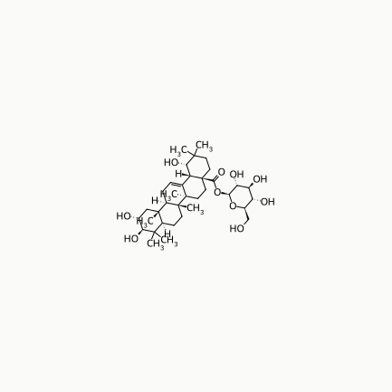 CC1(C)CC[C@]2(C(=O)O[C@@H]3O[C@H](CO)[C@@H](O)[C@H](O)[C@H]3O)CC[C@]3(C)C(=CC[C@@H]4[C@@]5(C)C[C@@H](O)[C@H](O)C(C)(C)[C@@H]5CC[C@]43C)[C@@H]2[C@@H]1O